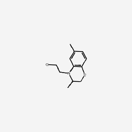 Cc1ccc2c(c1)N(CCCl)C(C)CO2